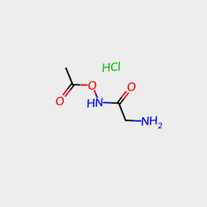 CC(=O)ONC(=O)CN.Cl